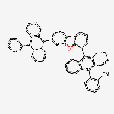 N#Cc1ccccc1-c1c2c(c(-c3cccc4c3oc3cc(C5=c6ccccc6=C(c6ccccc6)C6C=CC=CC56)ccc34)c3ccccc13)CCC=C2